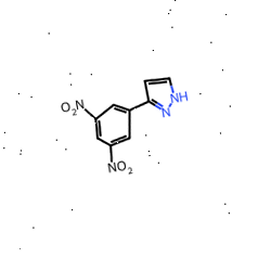 O=[N+]([O-])c1cc(-c2cc[nH]n2)cc([N+](=O)[O-])c1